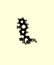 C[SiH](C)OC(c1ccc2c(c1)CCc1ccccc1N2)C(C)(C)C